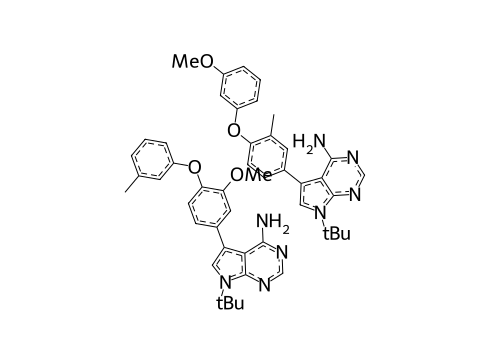 COc1cc(-c2cn(C(C)(C)C)c3ncnc(N)c23)ccc1Oc1cccc(C)c1.COc1cccc(Oc2ccc(-c3cn(C(C)(C)C)c4ncnc(N)c34)cc2C)c1